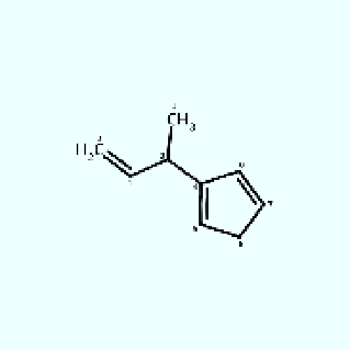 C=CC(C)C1=CCC=C1